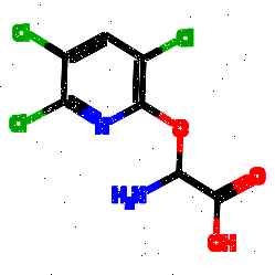 NC(Oc1nc(Cl)c(Cl)cc1Cl)C(=O)O